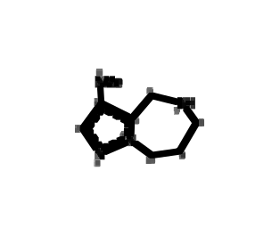 CNc1cnn2c1CNCCC2